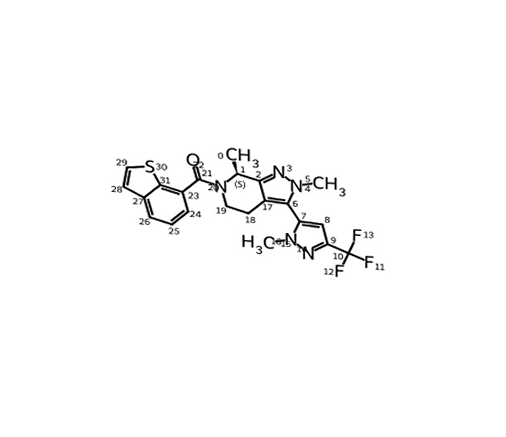 C[C@H]1c2nn(C)c(-c3cc(C(F)(F)F)nn3C)c2CCN1C(=O)c1cccc2ccsc12